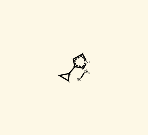 CC#N.c1cc(C2CC2)cs1